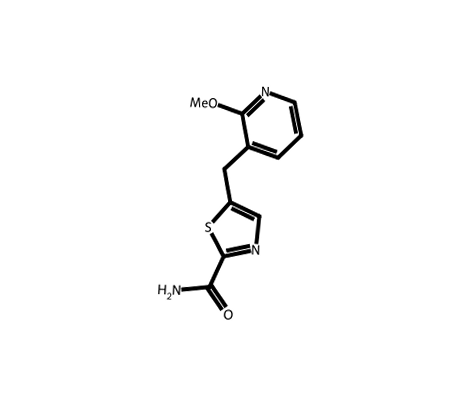 COc1ncccc1Cc1cnc(C(N)=O)s1